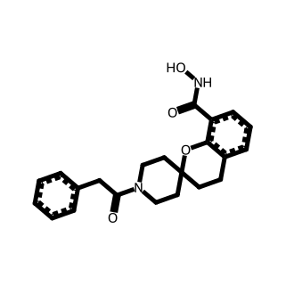 O=C(NO)c1cccc2c1OC1(CC2)CCN(C(=O)Cc2ccccc2)CC1